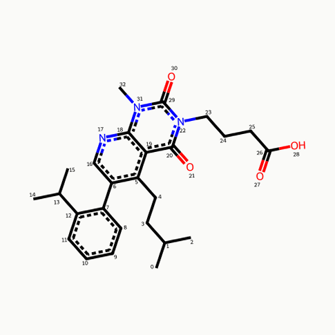 CC(C)CCc1c(-c2ccccc2C(C)C)cnc2c1c(=O)n(CCCC(=O)O)c(=O)n2C